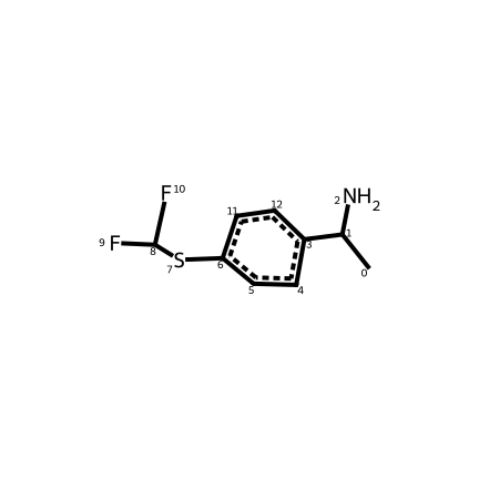 CC(N)c1ccc(SC(F)F)cc1